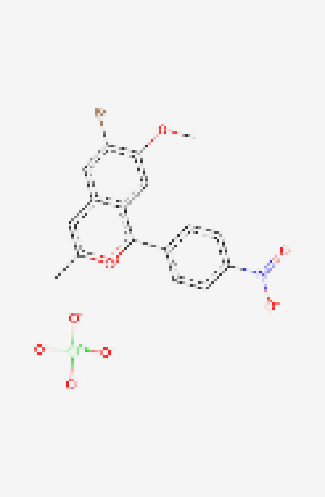 COc1cc2c(-c3ccc([N+](=O)[O-])cc3)[o+]c(C)cc2cc1Br.[O-][Cl+3]([O-])([O-])[O-]